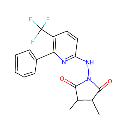 CC1C(=O)N(Nc2ccc(C(F)(F)F)c(-c3ccccc3)n2)C(=O)C1C